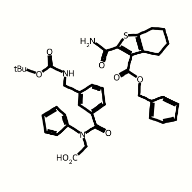 CC(C)(C)OC(=O)NCc1cccc(C(=O)N(CC(=O)O)c2ccccc2)c1.NC(=O)c1sc2c(c1C(=O)OCc1ccccc1)CCCC2